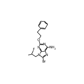 CC(F)Cn1c(Br)nc2c(N)nc(OCCc3ccccc3)nc21